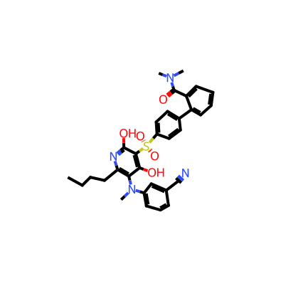 CCCCc1nc(O)c(S(=O)(=O)c2ccc(-c3ccccc3C(=O)N(C)C)cc2)c(O)c1N(C)c1cccc(C#N)c1